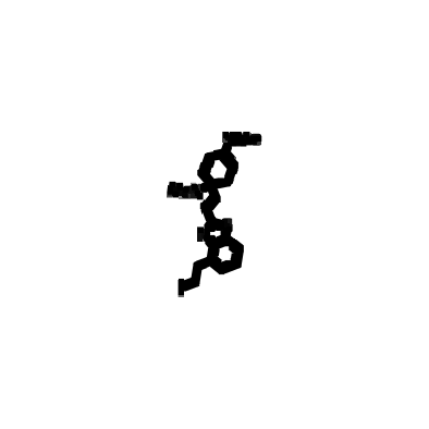 CNC1=CCC(C=Cc2nc3c(CCI)cccc3s2)(NC)C=C1